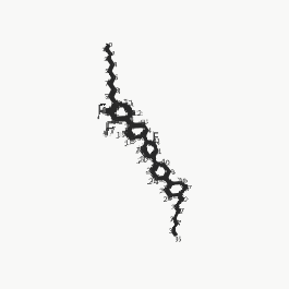 CCCCCCCCCCc1ccc(-c2ccc(-c3ccc(C4=CCC(C5CCC(CCCCCCC)CC5)CC4)cc3F)cc2)c(F)c1F